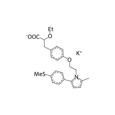 CCOC(Cc1ccc(OCCn2c(C)ccc2-c2ccc(SC)cc2)cc1)C(=O)[O-].[K+]